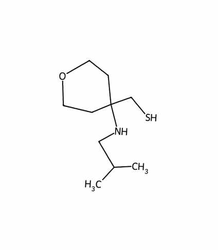 CC(C)CNC1(CS)CCOCC1